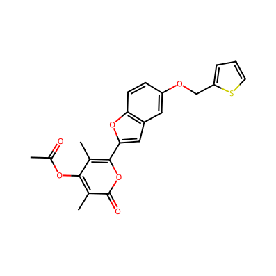 CC(=O)Oc1c(C)c(-c2cc3cc(OCc4cccs4)ccc3o2)oc(=O)c1C